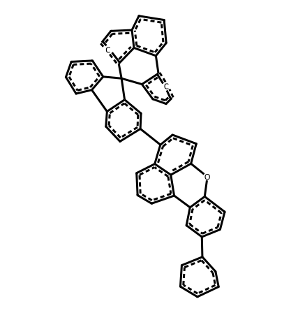 c1ccc(-c2ccc3c(c2)-c2cccc4c(-c5ccc6c(c5)C5(c7ccccc7-6)c6ccccc6-c6cccc7cccc5c67)ccc(c24)O3)cc1